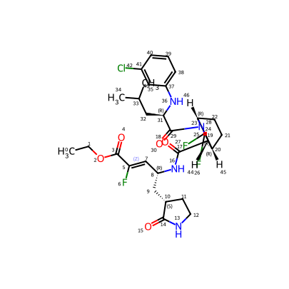 CCOC(=O)/C(F)=C/[C@@H](C[C@@H]1CCNC1=O)NC(=O)[C@H]1[C@H]2CC[C@H](CC2(F)F)N1C(=O)[C@@H](CC(C)C)Nc1cccc(Cl)c1